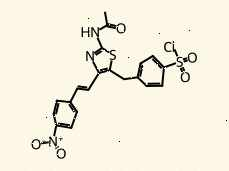 CC(=O)Nc1nc(C=Cc2ccc([N+](=O)[O-])cc2)c(Cc2ccc(S(=O)(=O)Cl)cc2)s1